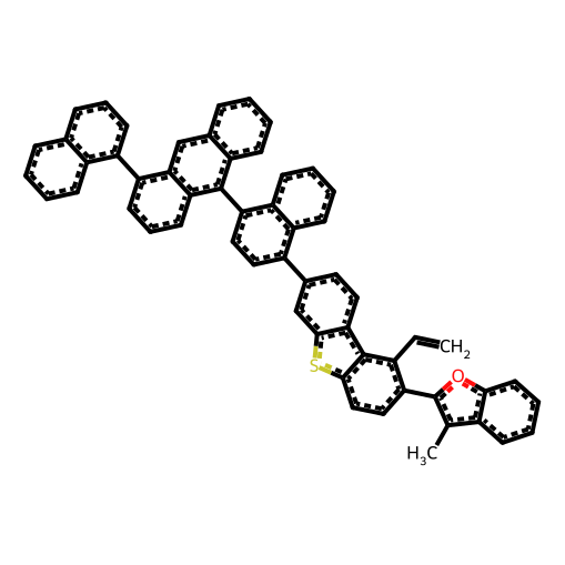 C=Cc1c(-c2oc3ccccc3c2C)ccc2sc3cc(-c4ccc(-c5c6ccccc6cc6c(-c7cccc8ccccc78)cccc56)c5ccccc45)ccc3c12